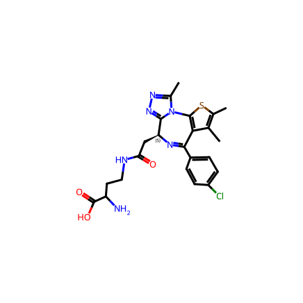 Cc1sc2c(c1C)C(c1ccc(Cl)cc1)=N[C@@H](CC(=O)NCCC(N)C(=O)O)c1nnc(C)n1-2